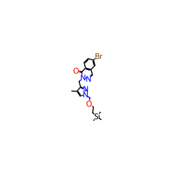 Cc1cn(COCC[Si](C)(C)C)nc1Cn1ncc2cc(Br)ccc2c1=O